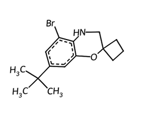 CC(C)(C)c1cc(Br)c2c(c1)OC1(CCC1)CN2